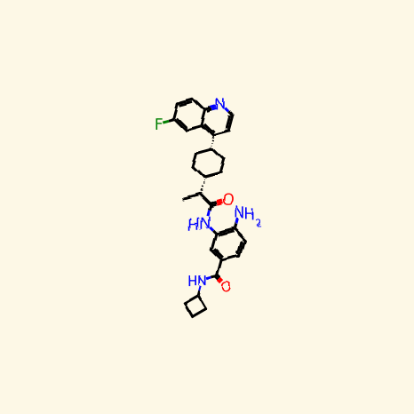 CC(C(=O)Nc1cc(C(=O)NC2CCC2)ccc1N)[C@H]1CC[C@@H](c2ccnc3ccc(F)cc32)CC1